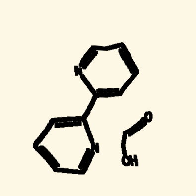 O=CO.c1ccc(-c2ccccn2)nc1